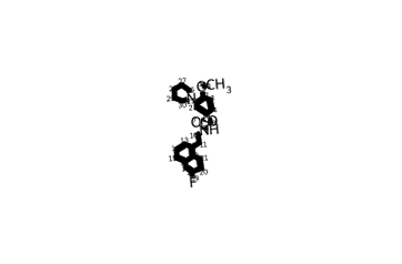 COc1ccc(S(=O)(=O)NCCc2cccc3cc(F)ccc23)cc1N1CCCCC1